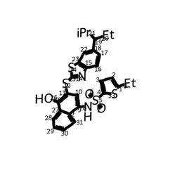 CCc1ccc(S(=O)(=O)Nc2cc(Sc3nc4ccc(C(CC)C(C)C)cc4s3)c(O)c3ccccc23)s1